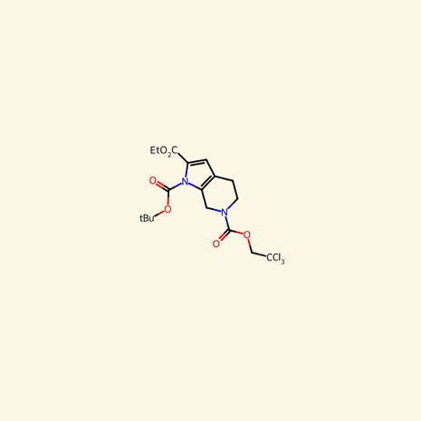 CCOC(=O)c1cc2c(n1C(=O)OC(C)(C)C)CN(C(=O)OCC(Cl)(Cl)Cl)CC2